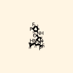 O=C(Nc1ccc(F)c(F)c1)c1cnn2c1NC(=C1CC1)C=C2C(F)F